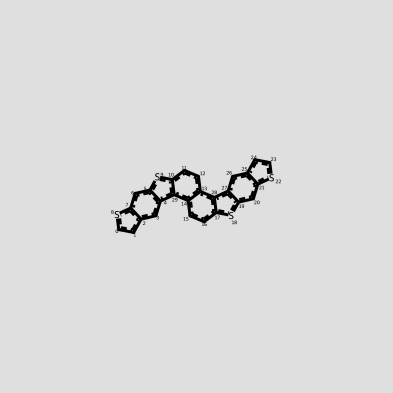 c1cc2cc3c(cc2s1)sc1ccc2c(ccc4sc5cc6sccc6cc5c42)c13